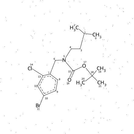 CC(C)CCN(Cc1ccc(Br)cc1Cl)C(=O)OC(C)(C)C